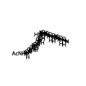 CC(=O)Nc1cn(C)c(C(=O)Nc2cc(C(=O)NCCC(=O)Nc3cn(C)c(C(=O)Nc4cc(C(=O)Nc5cc(C(=O)NCCCC(=O)Nc6cn(C)c(C(=O)Nc7cn(C)c(C(=O)Nc8cc(C(=O)NCCC(=O)Nc9cn(C)c(C(=O)Nc%10cc(C(=O)NCCC(=O)NCCCN(C)C)n(C)c%10)n9)n(C)c8)n7)n6)n(C)c5)n(C)c4)n3)n(C)c2)n1